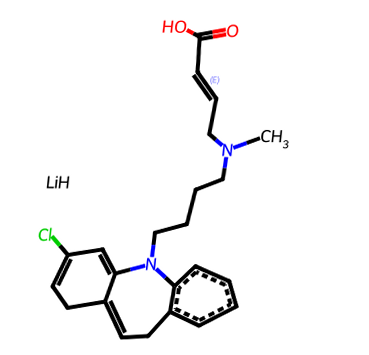 CN(C/C=C/C(=O)O)CCCCN1C2=CC(Cl)=CCC2=CCc2ccccc21.[LiH]